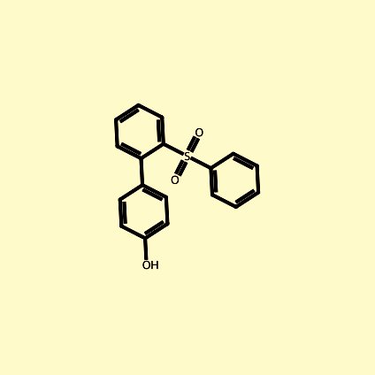 O=S(=O)(c1ccccc1)c1ccccc1-c1ccc(O)cc1